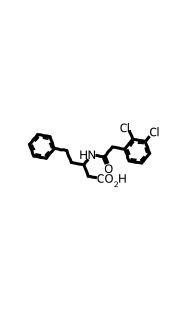 O=C(O)CC(CCc1ccccc1)NC(=O)Cc1cccc(Cl)c1Cl